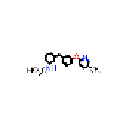 O=C(O)NC1CCCC(=Cc2cccc(Oc3ccc(C(F)(F)F)cn3)c2)C1